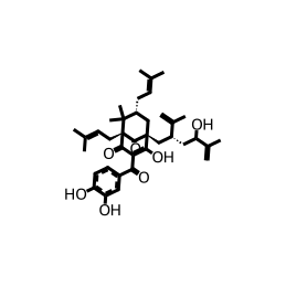 C=C(C)C(O)C[C@H](C[C@@]12C[C@@H](CC=C(C)C)C(C)(C)[C@@](CC=C(C)C)(C(=O)C(C(=O)c3ccc(O)c(O)c3)=C1O)C2=O)C(=C)C